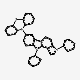 c1ccc(-n2ccc3c2ccc2c4cc(N5c6ccccc6Sc6ccccc65)ccc4n(-c4ccccc4)c23)cc1